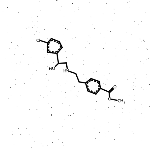 COC(=O)c1ccc(CCNCC(O)c2cccc(Cl)c2)cc1